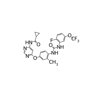 Cc1cc(Oc2cc(NC(=O)C3CC3)ncn2)ccc1NC(=O)Nc1cc(OC(F)(F)F)ccc1F